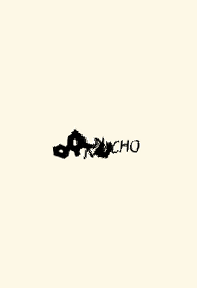 Cc1c(-c2ccccc2)cccc1-c1nc2ccc(C=O)cn2n1